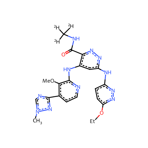 [2H]C([2H])([2H])NC(=O)c1nnc(Nc2ccc(OCC)nn2)cc1Nc1nccc(-c2ncn(C)n2)c1OC